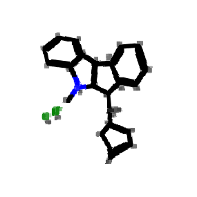 Cn1c2c(c3ccccc31)-c1ccccc1[CH]2[Zr+2][C]1=CC=CC1.[Cl-].[Cl-]